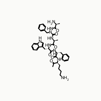 CC(=O)[C@H](CCCCN)NC(=O)[C@@H](Cc1ccccc1)NC(=O)[C@H](Cc1c[nH]c2ccccc12)NC(=O)[C@H](C)NC(=O)N(Cc1ccccc1)NC(=O)[C@H](C)N